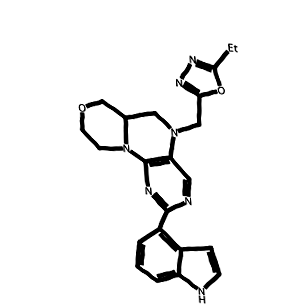 CCc1nnc(CN2CC3COCCN3c3nc(-c4cccc5[nH]ccc45)ncc32)o1